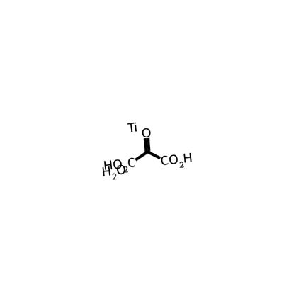 O.O=C(O)C(=O)C(=O)O.[Ti]